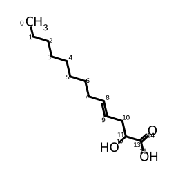 CCCCCCCC/C=C/CC(O)C(=O)O